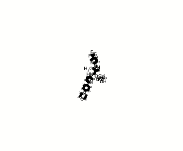 CS(=O)(=O)O.Cc1c(C(=O)Nc2ccc([C@H]3CC[C@H](N4CCOCC4)CC3)nc2)cnn1-c1ccc(C(F)(F)F)cn1